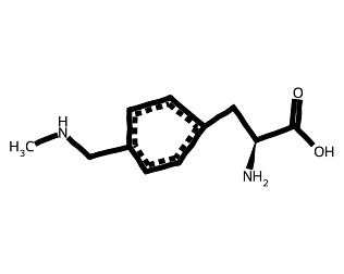 CNCc1ccc(C[C@H](N)C(=O)O)cc1